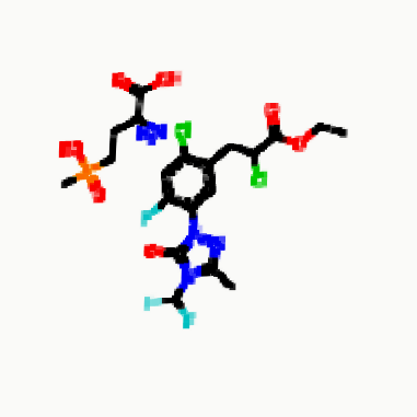 CCOC(=O)C(Cl)Cc1cc(-n2nc(C)n(C(F)F)c2=O)c(F)cc1Cl.CP(=O)(O)CCC(N)C(=O)O